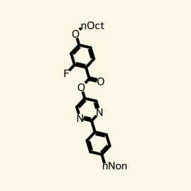 CCCCCCCCCc1ccc(-c2ncc(OC(=O)c3ccc(OCCCCCCCC)cc3F)cn2)cc1